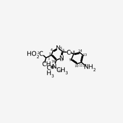 CC(C(=O)O)c1cnc(Cc2ccc(N)cc2)nc1N(C)C